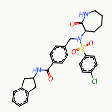 O=C(NC1Cc2ccccc2C1)c1ccc(CN([C@@H]2CCCCNC2=O)S(=O)(=O)c2ccc(Cl)cc2)cc1